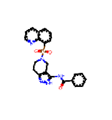 O=C(Nc1[nH]nc2c1CN(S(=O)(=O)c1cccc3cccnc13)CC2)c1ccccc1